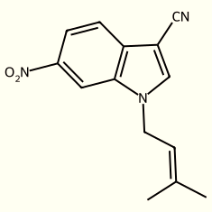 CC(C)=CCn1cc(C#N)c2ccc([N+](=O)[O-])cc21